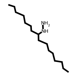 CCCCCCCCC(CCCCCCC)NN